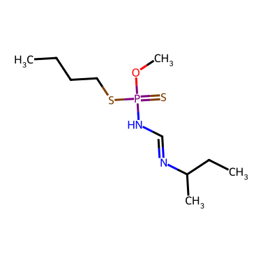 CCCCSP(=S)(NC=NC(C)CC)OC